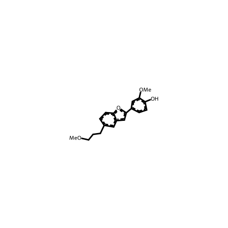 COCCCc1ccc2oc(-c3ccc(O)c(OC)c3)cc2c1